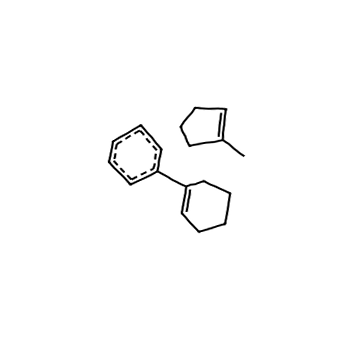 C1=C(c2ccccc2)CCCC1.CC1=CCCC1